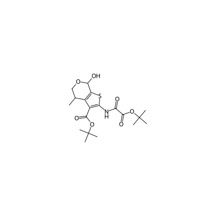 CC1COC(O)c2sc(NC(=O)C(=O)OC(C)(C)C)c(C(=O)OC(C)(C)C)c21